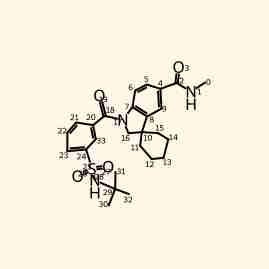 CNC(=O)c1ccc2c(c1)C1(CCCCC1)CN2C(=O)c1cccc(S(=O)(=O)NC(C)(C)C)c1